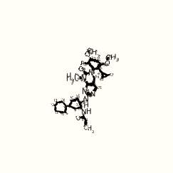 C=CC(=O)N[C@H]1CC(C2CCCCCC2)CC[C@H]1Nc1ncc2c(n1)N(C)C(=O)N(c1c(F)c(OC)cc(OC)c1C1CC1)C2